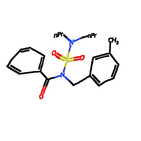 CCCN(CCC)S(=O)(=O)N(Cc1cccc(C)c1)C(=O)c1ccccc1